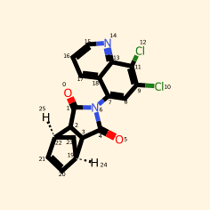 O=C1C2C(C(=O)N1c1cc(Cl)c(Cl)c3ncccc13)[C@H]1C=C[C@@H]2C1